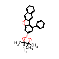 CC1(C)OB(c2cc(-c3ccccc3)c3c(c2)oc2cc4c(cc23)=CCCC=4)OC1(C)C